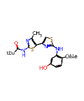 COc1ccc(O)cc1Nc1nc(-c2sc(NC(=O)C(C)(C)C)nc2C)cs1